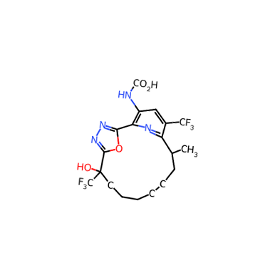 CC1CCCCCCC(O)(C(F)(F)F)c2nnc(o2)-c2nc1c(C(F)(F)F)cc2NC(=O)O